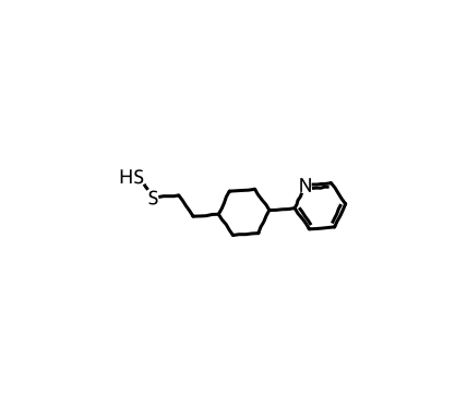 SSCCC1CCC(c2ccccn2)CC1